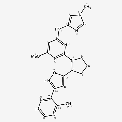 COc1cc(Nc2cn(C)cn2)nc(N2CCCC2c2cc(-c3nccnc3C)no2)n1